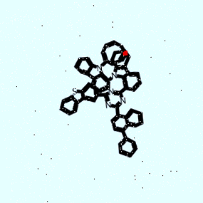 C1#CC/C(n2c3ccccc3c3cccc(-n4c5c(c6cccc(-c7nc(-c8ccc9sc%10ccccc%10c9c8)nc(-c8ccc(-c9ccccc9)c9ccccc89)n7)c64)C=CCC5)c32)=C\C=C/C1